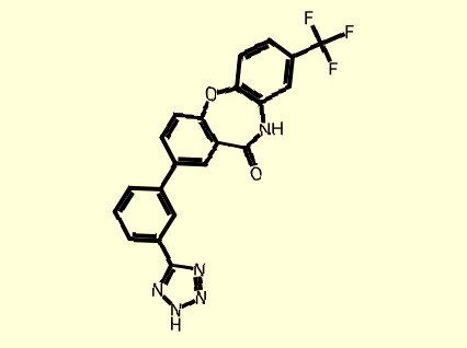 O=C1Nc2cc(C(F)(F)F)ccc2Oc2ccc(-c3cccc(-c4nn[nH]n4)c3)cc21